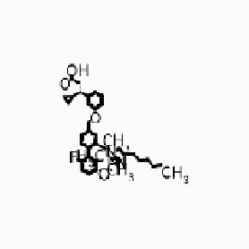 CCCCCCc1cn(C(C)(C)c2cc(COc3cccc([C@@H](CC(=O)O)C4CC4)c3)ccc2-c2cc(OC)ccc2F)nn1